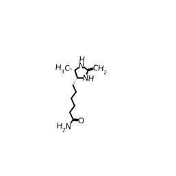 C=C1N[C@@H](C)[C@@H](CCCCCC(N)=O)N1